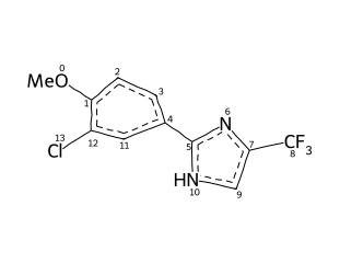 COc1ccc(-c2nc(C(F)(F)F)c[nH]2)cc1Cl